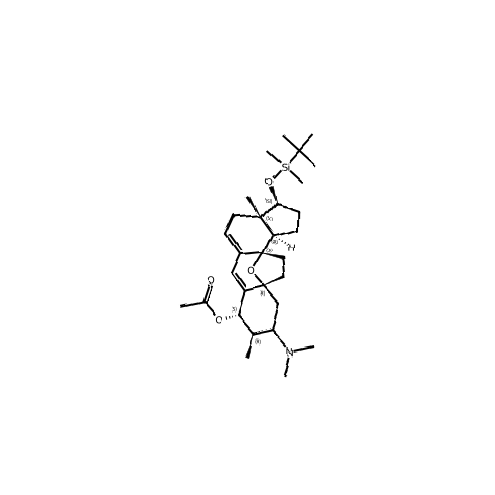 CC(=O)O[C@@H]1C2=CC3=CC[C@]4(C)[C@@H](O[Si](C)(C)C(C)(C)C)CC[C@H]4[C@@]34CC[C@]2(CC(N(C)C)[C@H]1C)O4